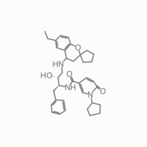 CCc1ccc2c(c1)C(NC[C@@H](O)[C@H](Cc1ccccc1)NC(=O)c1ccc(=O)n(C3CCCC3)c1)CC1(CCCC1)O2